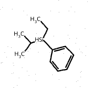 CC[SiH](c1ccccc1)C(C)C